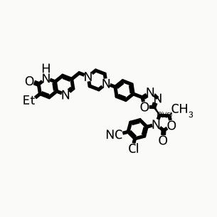 CCc1cc2ncc(CN3CCN(c4ccc(-c5nnc([C@H]6[C@H](C)OC(=O)N6c6ccc(C#N)c(Cl)c6)o5)cc4)CC3)cc2[nH]c1=O